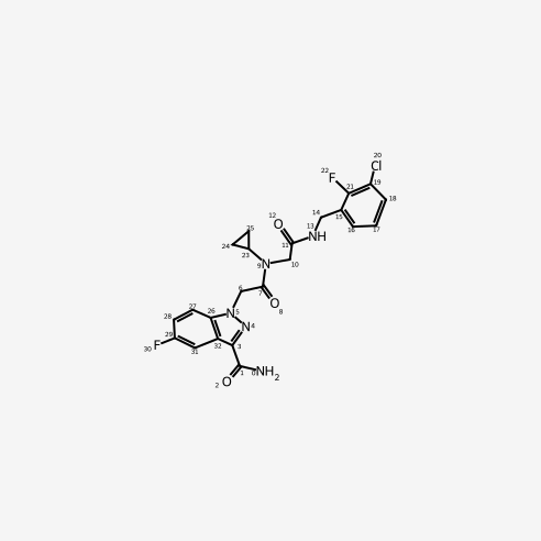 NC(=O)c1nn(CC(=O)N(CC(=O)NCc2cccc(Cl)c2F)C2CC2)c2ccc(F)cc12